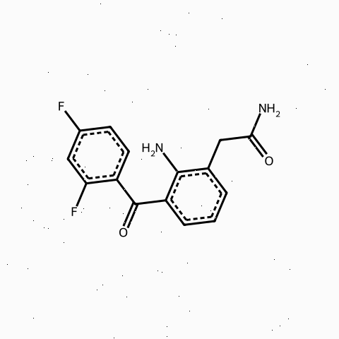 NC(=O)Cc1cccc(C(=O)c2ccc(F)cc2F)c1N